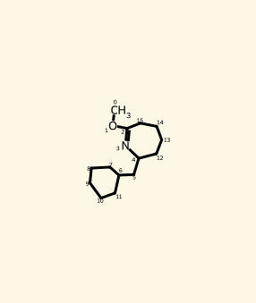 COC1=NC(CC2CCCCC2)CCCC1